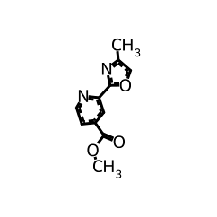 COC(=O)c1ccnc(-c2nc(C)co2)c1